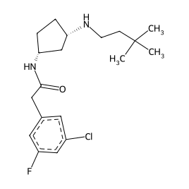 CC(C)(C)CCN[C@H]1CC[C@@H](NC(=O)Cc2cc(F)cc(Cl)c2)C1